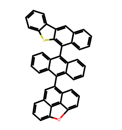 c1ccc2c(-c3c4ccccc4c(-c4cc5cccc6oc7cccc4c7c56)c4ccccc34)c3sc4ccccc4c3cc2c1